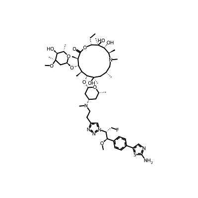 CC[C@H]1OC(=O)[C@H](C)[C@@H](O[C@H]2C[C@@](C)(OC)[C@@H](O)[C@H](C)O2)[C@H](C)[C@@H](O[C@H]2C[C@@H](N(C)CCc3cn([C@H](CF)[C@H](OC)c4ccc(-c5cnc(N)s5)cc4)nn3)C[C@@H](C)O2)[C@](C)(O)C[C@@H](C)CN(C)[C@H](C)[C@@H](O)[C@]1(C)O